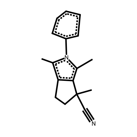 Cc1c2c(c(C)n1-c1ccccc1)C(C)(C#N)CC2